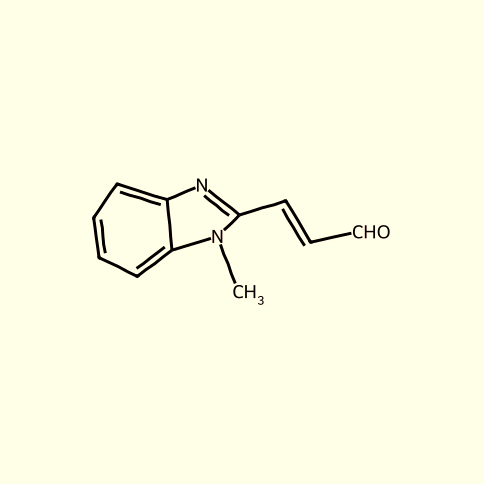 Cn1c(C=CC=O)nc2ccccc21